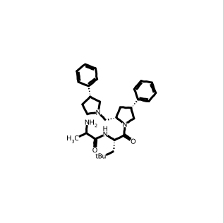 CC(N)C(=O)N[C@@H](CC(C)(C)C)C(=O)N1C[C@@H](c2ccccc2)C[C@H]1CN1CC[C@H](c2ccccc2)C1